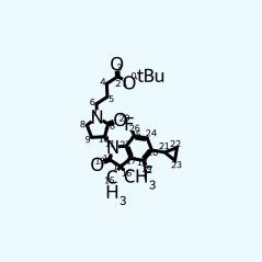 CC(C)(C)OC(=O)CCCN1CCC(N2C(=O)C(C)(C)c3c(F)c(C4CC4)cc(F)c32)C1=O